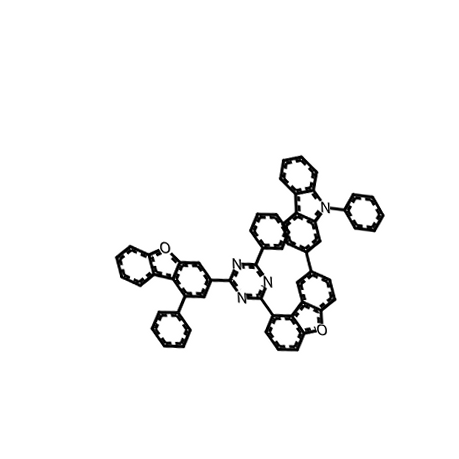 c1ccc(-c2nc(-c3cc(-c4ccccc4)c4c(c3)oc3ccccc34)nc(-c3cccc4oc5ccc(-c6ccc7c8ccccc8n(-c8ccccc8)c7c6)cc5c34)n2)cc1